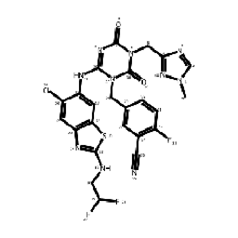 Cn1cnc(Cn2c(=O)nc(Nc3cc4sc(NCC(F)F)nc4cc3Cl)n(Cc3ccc(F)c(C#N)c3)c2=O)n1